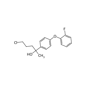 CC(O)(CCCCl)c1ccc(Oc2ccccc2F)cc1